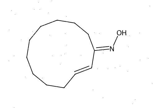 O/N=C1/C=C/CCCCCCCCC1